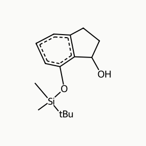 CC(C)(C)[Si](C)(C)Oc1cccc2c1C(O)CC2